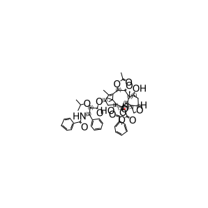 COC(=O)O[C@@]12CO[C@@H]1C[C@H](O)[C@@]1(C)C(=O)[C@H](OC(C)=O)C3=C(C)[C@@H](OC(=O)[C@H](OC(C)C)[C@@H](NC(=O)c4ccccc4)c4ccccc4)C[C@@](O)([C@@H](OC(=O)c4ccccc4)[C@H]21)C3(C)C